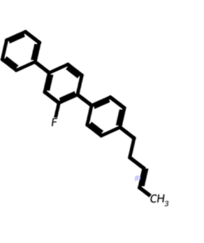 C/C=C/CCc1ccc(-c2ccc(-c3ccccc3)cc2F)cc1